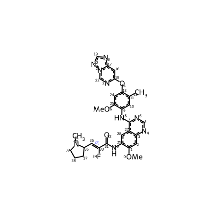 COc1cc2ncnc(Nc3cc(C)c(Oc4cc5ncnn5cn4)cc3OC)c2cc1NC(=O)/C(F)=C/C1CCCN1C